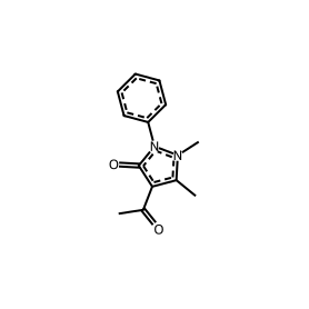 CC(=O)c1c(C)n(C)n(-c2ccccc2)c1=O